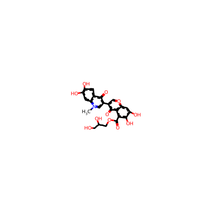 Cn1cc(-c2coc3cc(O)c(O)c(C(=O)OCC(O)CO)c3c2=O)c(=O)c2cc(O)c(O)cc21